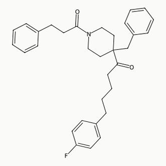 O=C(CCc1ccccc1)N1CCC(Cc2ccccc2)(C(=O)CCCCc2ccc(F)cc2)CC1